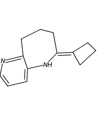 c1cnc2c(c1)NC(=C1CCC1)CCC2